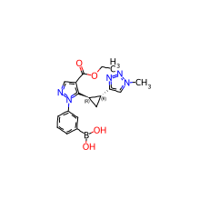 CCOC(=O)c1cnn(-c2cccc(B(O)O)c2)c1[C@@H]1C[C@H]1c1cn(C)nn1